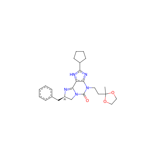 CC1(CCN2C(=O)N3C[C@@H](Cc4ccccc4)N=C3c3[nH]c(C4CCCC4)nc32)OCCO1